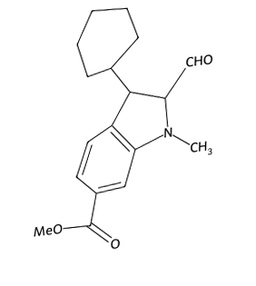 COC(=O)c1ccc2c(c1)N(C)C(C=O)C2C1CCCCC1